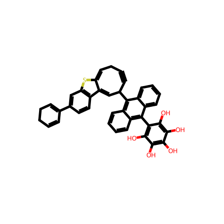 Oc1c(O)c(O)c(-c2c3ccccc3c(C3C#CC/C=c4/sc5cc(C6=CCCC=C6)ccc5/c4=C/3)c3ccccc23)c(O)c1O